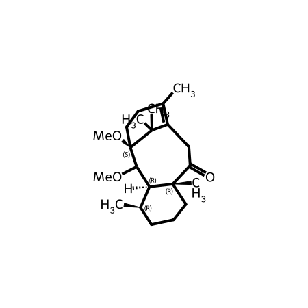 COC1[C@@H]2[C@H](C)CCC[C@@]2(C)C(=O)CC2=C(C)CC[C@]1(OC)C2(C)C